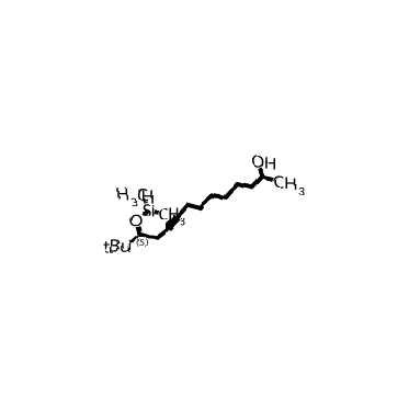 CC(O)CCCCCCC#CC[C@H](O[SiH](C)C)C(C)(C)C